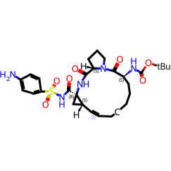 CC(C)(C)OC(=O)N[C@H]1CCCCC/C=C\[C@@H]2C[C@@]2(C(=O)NS(=O)(=O)c2ccc(N)cc2)NC(=O)[C@@H]2CCCN2C1=O